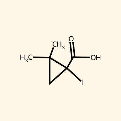 CC1(C)CC1(I)C(=O)O